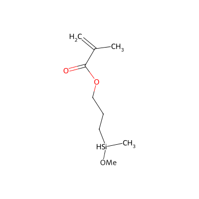 C=C(C)C(=O)OCCC[SiH](C)OC